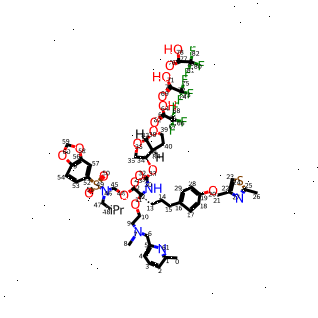 Cc1cccc(CN(C)CCO[C@](CCCc2ccc(OCc3csc(C)n3)cc2)(NC(=O)O[C@H]2CO[C@H]3OCC[C@H]32)C(=O)OCN(CC(C)C)S(=O)(=O)c2ccc3c(c2)OCO3)n1.O=C(O)C(F)(F)F.O=C(O)C(F)(F)F.O=C(O)C(F)(F)F